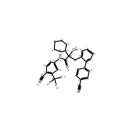 N#Cc1ccc(-c2ccccc2CC(O)(C(=O)Nc2ccc(C#N)c(C(F)(F)F)c2)C2CCCCC2)cc1